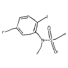 CN(c1cc(F)ccc1I)S(C)(=O)=O